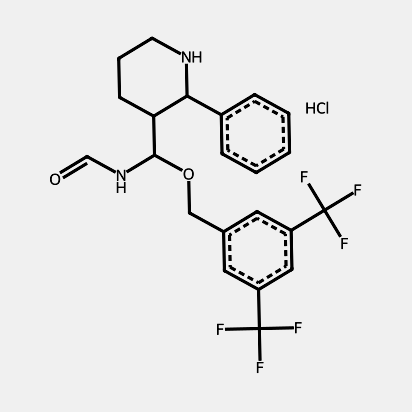 Cl.O=CNC(OCc1cc(C(F)(F)F)cc(C(F)(F)F)c1)C1CCCNC1c1ccccc1